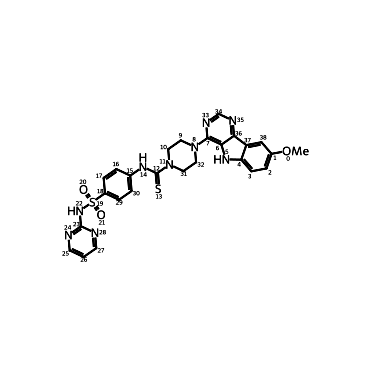 COc1ccc2[nH]c3c(N4CCN(C(=S)Nc5ccc(S(=O)(=O)Nc6ncccn6)cc5)CC4)ncnc3c2c1